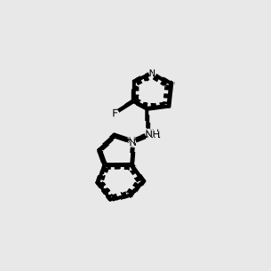 Fc1cnccc1NN1CCc2ccccc21